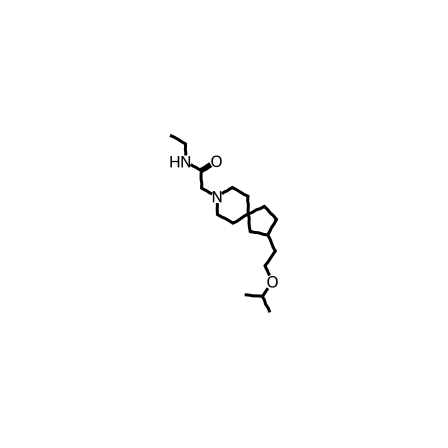 CCNC(=O)CN1CCC2(CCC(CCOC(C)C)C2)CC1